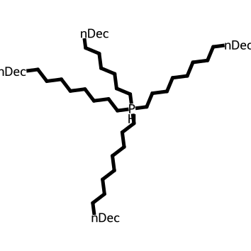 CCCCCCCCCCCCCCCCCC[PH](CCCCCCCCCCCCCCCC)(CCCCCCCCCCCCCCCCCC)CCCCCCCCCCCCCCCCCC